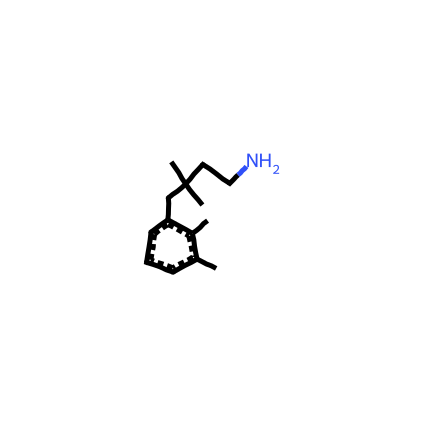 Cc1cccc(CC(C)(C)CCN)c1C